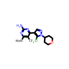 CNc1nc(N)nc(-c2cnn(C3CCOCC3)c2Cl)c1C(F)(F)F